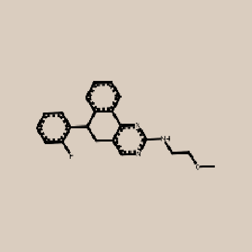 COCCNc1ncc2c(n1)-c1ccccc1C(c1ccccc1F)C2